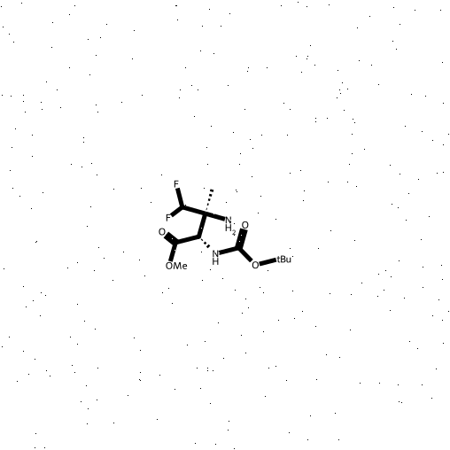 COC(=O)[C@@H](NC(=O)OC(C)(C)C)[C@](C)(N)C(F)F